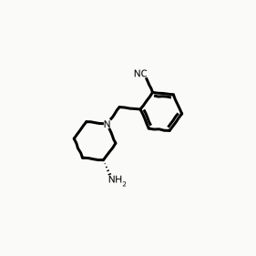 N#Cc1ccccc1CN1CCC[C@@H](N)C1